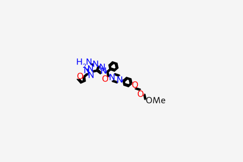 COCCOCCOc1ccc(N2CCN(C(=O)C(c3ccccc3)n3cc4c(nc(N)n5nc(-c6ccco6)nc45)n3)CC2)cc1